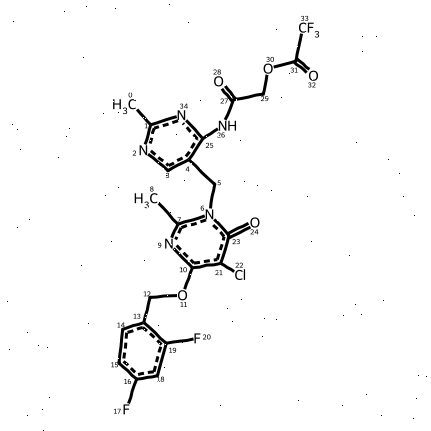 Cc1ncc(Cn2c(C)nc(OCc3ccc(F)cc3F)c(Cl)c2=O)c(NC(=O)COC(=O)C(F)(F)F)n1